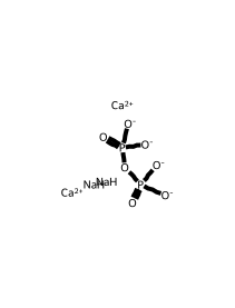 O=P([O-])([O-])OP(=O)([O-])[O-].[Ca+2].[Ca+2].[NaH].[NaH]